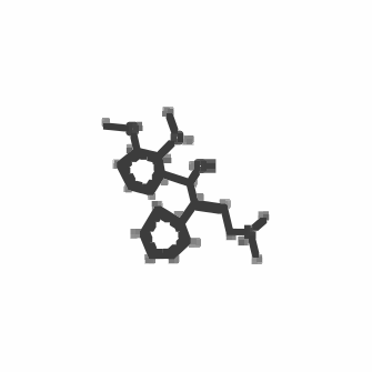 COc1cccc(C(O)C(=CCN(C)C)c2ccccc2)c1OC